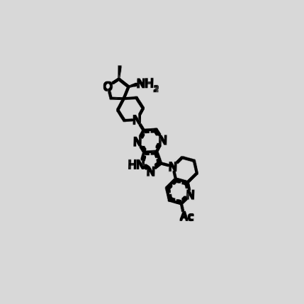 CC(=O)c1ccc2c(n1)CCCN2c1n[nH]c2nc(N3CCC4(CC3)CO[C@@H](C)[C@H]4N)cnc12